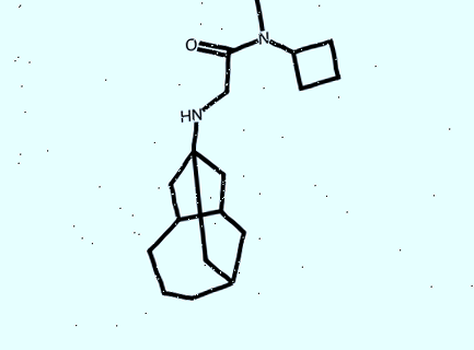 CN(C(=O)CNC12CC3CCCC(C1)C(C3)C2)C1CCC1